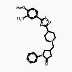 COc1ccc(-c2noc(C3CCN(CC4CC(=O)N(c5ccccc5)C4)CC3)n2)cc1N